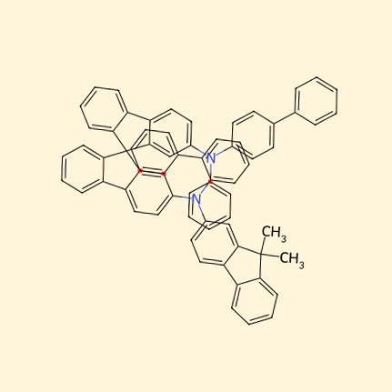 CC1(C)c2ccccc2-c2ccc(N(c3ccc4c(c3)C3(c5ccccc5-c5ccc(N(c6ccccc6)c6ccc(-c7ccccc7)cc6)cc53)c3ccccc3-4)c3ccccc3-c3ccccc3)cc21